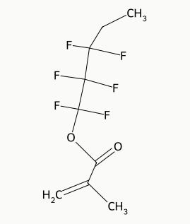 C=C(C)C(=O)OC(F)(F)C(F)(F)C(F)(F)CC